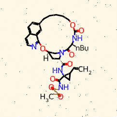 C=CC1C[C@]1(NC(=O)[C@@H]1C[C@@H]2CN1C(=O)[C@H](CCCC)NC(=O)OCCCCCc1ccc3ccnc(c3c1)O2)C(=O)NS(C)(=O)=O